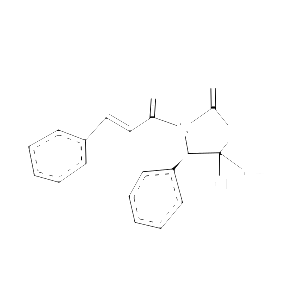 CC1(C)OC(=O)N(C(=O)/C=C/c2ccccc2)[C@@H]1c1ccccc1